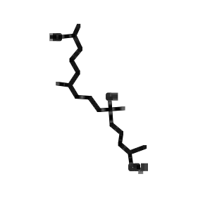 CC(O)CCCC(C)CCCC(C)(O)CCCC(C)C(=O)O